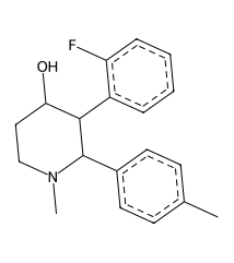 Cc1ccc(C2C(c3ccccc3F)C(O)CCN2C)cc1